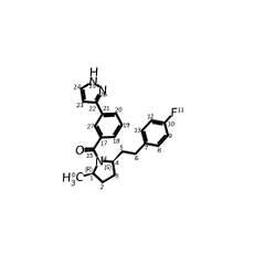 C[C@@H]1CC[C@H](CCc2ccc(F)cc2)N1C(=O)c1cccc(-c2cc[nH]n2)c1